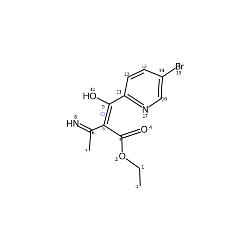 CCOC(=O)/C(C(C)=N)=C(/O)c1ccc(Br)cn1